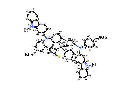 CCn1c2ccccc2c2ccc(N(c3ccc(OC)cc3)c3ccc4c(c3)C3(c5ccccc5Sc5ccccc53)c3cc(N(c5ccc(OC)cc5)c5ccc6c7ccccc7n(CC)c6c5)ccc3-4)cc21